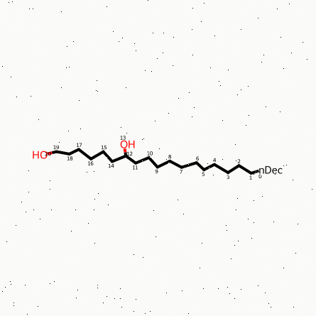 CCCCCCCCCCCCCCCCCCCCCC(O)CCCCCCO